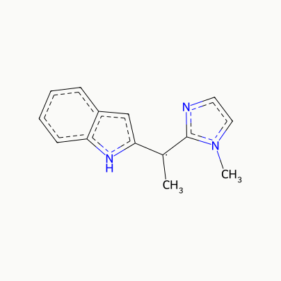 C[C](c1cc2ccccc2[nH]1)c1nccn1C